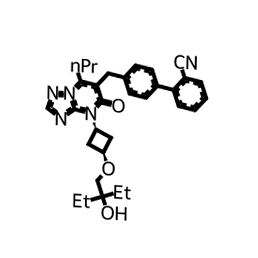 CCCc1c(Cc2ccc(-c3ccccc3C#N)cc2)c(=O)n([C@H]2C[C@H](OCC(O)(CC)CC)C2)c2ncnn12